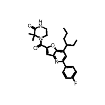 CCCC(CC)c1cc(-c2ccc(F)cc2)nc2cc(C(=O)N3CCNC(=O)C3(C)C)oc12